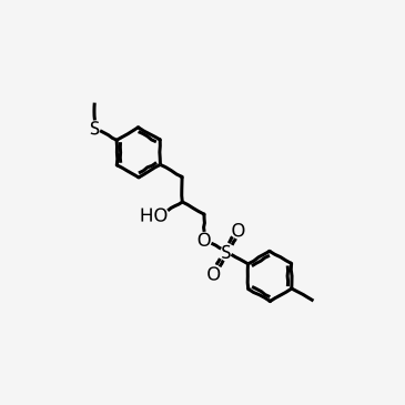 CSc1ccc(CC(O)COS(=O)(=O)c2ccc(C)cc2)cc1